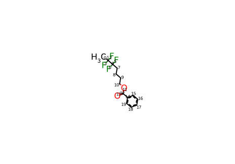 CC(F)(F)C(F)(F)CCCCOC(=O)c1ccccc1